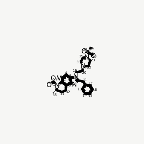 COC(=O)N1c2ccc3c(nc(Cc4ccccc4)n3CCN3CCN(S(C)(=O)=O)CC3)c2CC[C@@H]1C